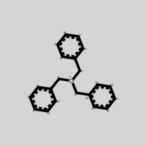 c1ccc([CH2][Cr]([CH2]c2ccccc2)[CH2]c2ccccc2)cc1